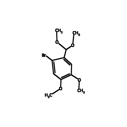 COc1cc(Br)c(C(OC)OC)cc1OC